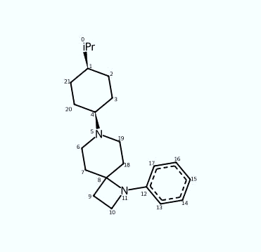 CC(C)[C@H]1CC[C@@H](N2CCC3(CCN3c3ccccc3)CC2)CC1